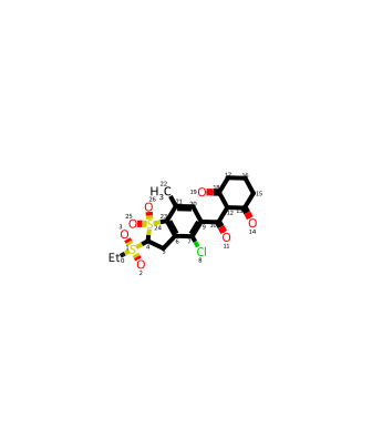 CCS(=O)(=O)C1Cc2c(Cl)c(C(=O)C3C(=O)CCCC3=O)cc(C)c2S1(=O)=O